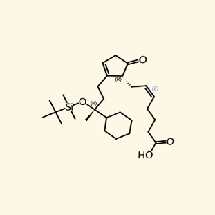 CC(C)(C)[Si](C)(C)O[C@](C)(CCC1=CCC(=O)[C@@H]1C/C=C\CCCC(=O)O)C1CCCCC1